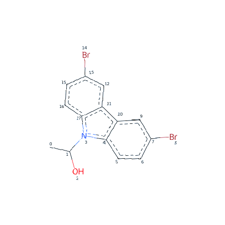 CC(O)n1c2ccc(Br)cc2c2cc(Br)ccc21